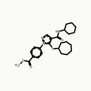 COC(=O)c1ccc(-n2ncc(C(=O)NC3CCCCC3)c2SC2CCCCCC2)cc1